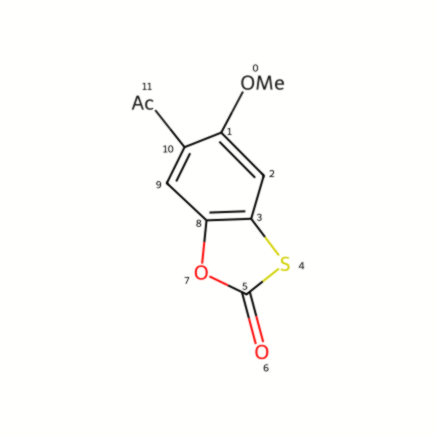 COc1cc2sc(=O)oc2cc1C(C)=O